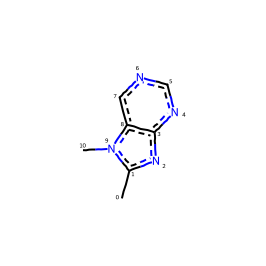 Cc1nc2ncncc2n1C